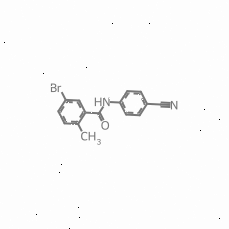 Cc1ccc(Br)cc1C(=O)Nc1ccc(C#N)cc1